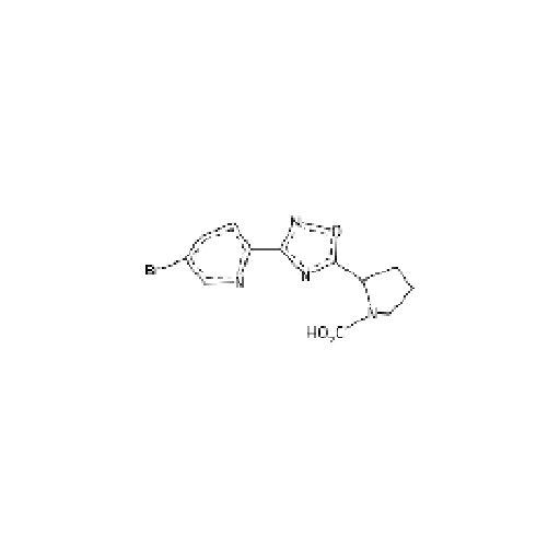 O=C(O)N1CCCC1c1nc(-c2ccc(Br)cn2)no1